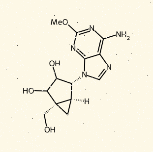 COc1nc(N)c2ncn([C@H]3C(O)C(O)[C@]4(CO)C[C@H]34)c2n1